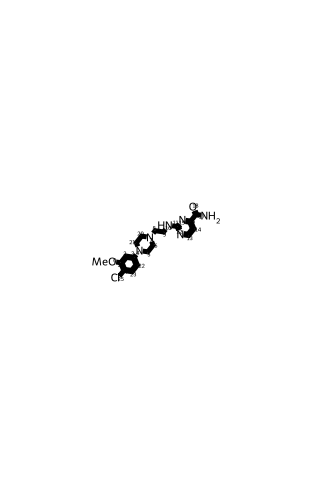 COc1cc(N2CCN(CCNc3nccc(C(N)=O)n3)CC2)ccc1Cl